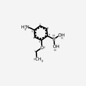 CCOc1cc(N)ccc1B(O)O